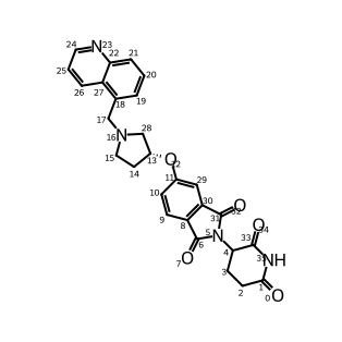 O=C1CCC(N2C(=O)c3ccc(O[C@@H]4CCN(Cc5cccc6ncccc56)C4)cc3C2=O)C(=O)N1